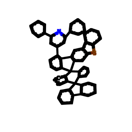 c1ccc(-c2cc(-c3cccc4c3-c3cc5c(cc3C43c4ccccc4C4(c6ccccc6-c6ccccc64)c4ccccc43)sc3ccccc35)cc(-c3ccccc3)n2)cc1